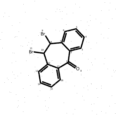 O=C1c2ccccc2C(Br)C(Br)c2ccccc21